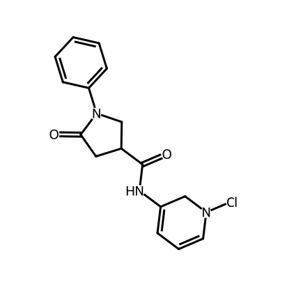 O=C(NC1=CC=CN(Cl)C1)C1CC(=O)N(c2ccccc2)C1